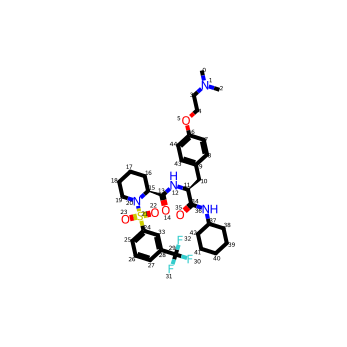 CN(C)CCOc1ccc(C[C@H](NC(=O)[C@@H]2CCCCN2S(=O)(=O)c2cccc(C(F)(F)F)c2)C(=O)NC2CCCCC2)cc1